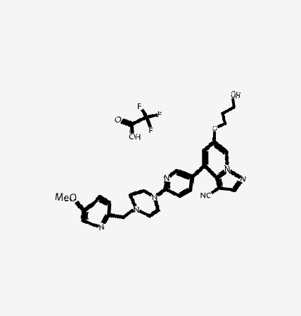 COc1ccc(CN2CCN(c3ccc(-c4cc(OCCCO)cn5ncc(C#N)c45)cn3)CC2)nc1.O=C(O)C(F)(F)F